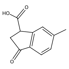 Cc1ccc2c(c1)C(C(=O)O)CC2=O